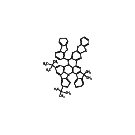 CC(C)(C)c1ccc2c(c1)c1cc(C(C)(C)C)cc3c1n2-c1c2c(cc4c1-c1ccccc1C4(C)C)-c1cc4c(cc1N(c1cccc5c1sc1ccccc15)B23)Sc1ccccc1S4